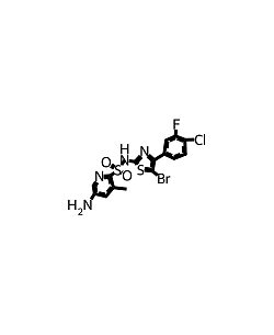 Cc1cc(N)cnc1S(=O)(=O)Nc1nc(-c2ccc(Cl)c(F)c2)c(Br)s1